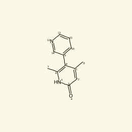 Cc1cc(=O)[nH]c(C)c1-c1cccnc1